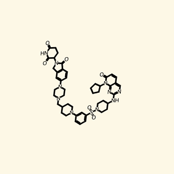 O=C1CCC(N2Cc3cc(N4CCN(CC5CCN(c6cccc(S(=O)(=O)N7CCC(Nc8ncc9ccc(=O)n(C%10CCCC%10)c9n8)CC7)c6)CC5)CC4)ccc3C2=O)C(=O)N1